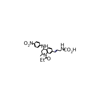 CCC(=O)N1c2cc(/C=C/CNC(=O)O)ccc2C(Nc2ccc([N+](=O)[O-])cc2)CC1C